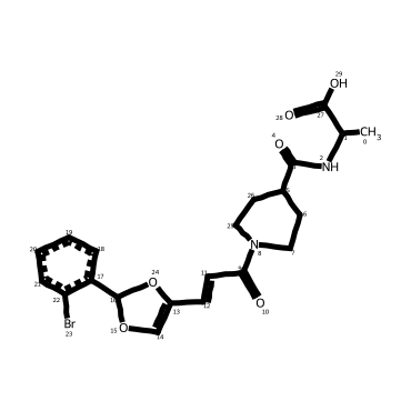 CC(NC(=O)C1CCN(C(=O)C=CC2=COC(c3ccccc3Br)O2)CC1)C(=O)O